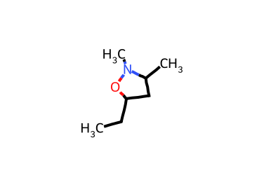 CCC1CC(C)N(C)O1